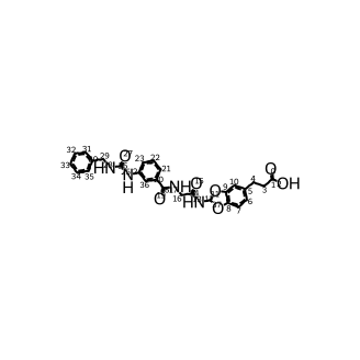 O=C(O)CCc1ccc2c(c1)OC(NC(=O)CNC(=O)c1cccc(NC(=O)NCc3ccccc3)c1)O2